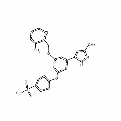 COc1cc(-c2cc(OCc3ncccc3C)cc(Oc3ccc(S(C)(=O)=O)cc3)c2)[nH]n1